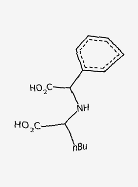 CCCCC(NC(C(=O)O)c1ccccc1)C(=O)O